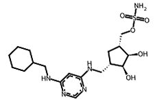 NS(=O)(=O)OC[C@H]1C[C@@H](CNc2cc(NCC3CCCCC3)ncn2)[C@H](O)[C@@H]1O